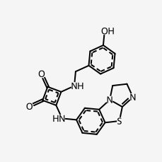 O=c1c(NCc2cccc(O)c2)c(Nc2ccc3c(c2)N2CCN=C2S3)c1=O